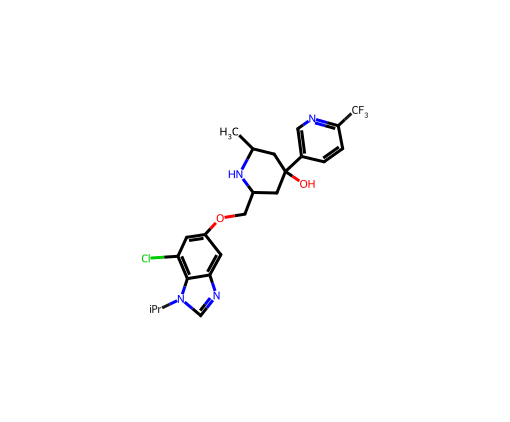 CC1CC(O)(c2ccc(C(F)(F)F)nc2)CC(COc2cc(Cl)c3c(c2)ncn3C(C)C)N1